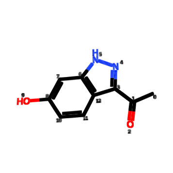 CC(=O)c1n[nH]c2cc(O)ccc12